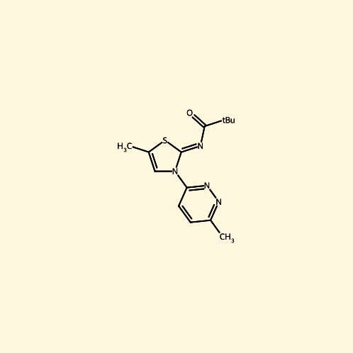 Cc1ccc(-n2cc(C)sc2=NC(=O)C(C)(C)C)nn1